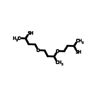 CC(S)CCOCCC(C)OCCC(C)S